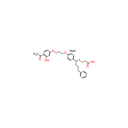 CC(=O)c1ccc(OCCCOc2ccc(C(CCCc3ccccc3)SCCC(=O)O)cc2)cc1O.[NaH]